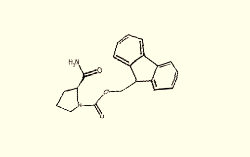 NC(=O)[C@@H]1CCCN1C(=O)OCC1c2ccccc2-c2ccccc21